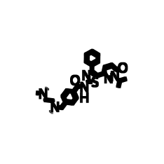 CC(C)n1nc(-c2sc(NC(=O)c3ccc(CN(C)CCN(C)C)cc3)nc2-c2ccccc2)ccc1=O